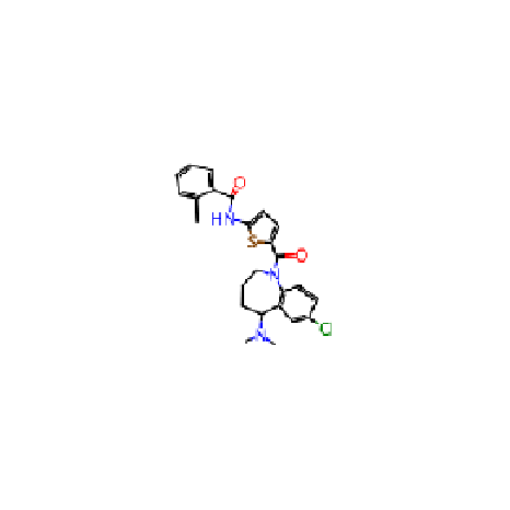 Cc1ccccc1C(=O)Nc1ccc(C(=O)N2CCCC(N(C)C)c3cc(Cl)ccc32)s1